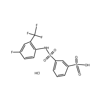 Cl.O=S(=O)(O)c1cccc(S(=O)(=O)Nc2ccc(F)cc2C(F)(F)F)c1